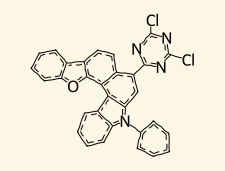 Clc1nc(Cl)nc(-c2cc3c(c4ccccc4n3-c3ccccc3)c3c2ccc2c4ccccc4oc23)n1